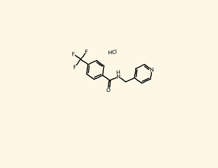 Cl.O=C(NCc1ccncc1)c1ccc(C(F)(F)F)cc1